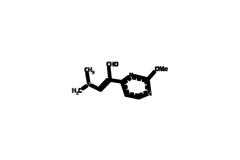 COc1nccc(C(C=O)=CN(C)C)n1